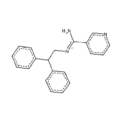 N/C(=N\CC(c1ccccc1)c1ccccc1)c1cccnc1